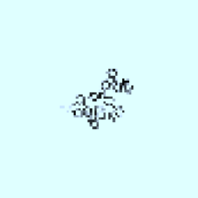 CC1(C)c2ccccc2-c2ccc(N(c3ccc(-c4ccccc4)cc3)c3ccc(-c4cccc5c4-c4cc6c(cc4C5(C)C)-c4ccccc4C6(C)C)cc3)cc21